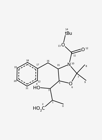 CC(C(=O)O)C(O)C1OC(C)(C)N(C(=O)OC(C)(C)C)C1Cc1ccccc1